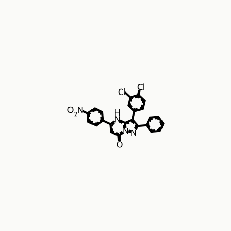 O=c1cc(-c2ccc([N+](=O)[O-])cc2)[nH]c2c(-c3ccc(Cl)c(Cl)c3)c(-c3ccccc3)nn12